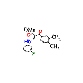 COC(=O)/C(=C\Nc1cccc(F)c1)C(=O)c1ccc(C)c(C)c1